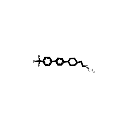 COCCC1CCC(c2ccc(-c3ccc(C(F)(F)F)cc3)cc2)CC1